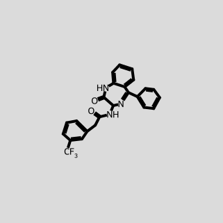 O=C(Cc1cccc(C(F)(F)F)c1)NC1N=C(c2ccccc2)c2ccccc2NC1=O